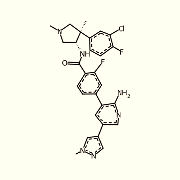 CN1C[C@@H](NC(=O)c2ccc(-c3cc(-c4cnn(C)c4)cnc3N)cc2F)[C@](C)(c2ccc(F)c(Cl)c2)C1